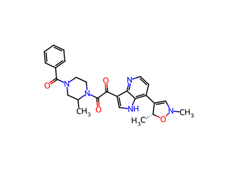 CC1CN(C(=O)c2ccccc2)CCN1C(=O)C(=O)c1c[nH]c2c(C3=CN(C)O[C@@H]3C)ccnc12